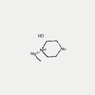 C1CNCCN1.Cl.[CH3][Mg+2]